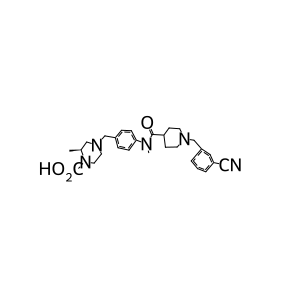 C[C@H]1CN(Cc2ccc(N(C)C(=O)C3CCN(Cc4cccc(C#N)c4)CC3)cc2)CCN1C(=O)O